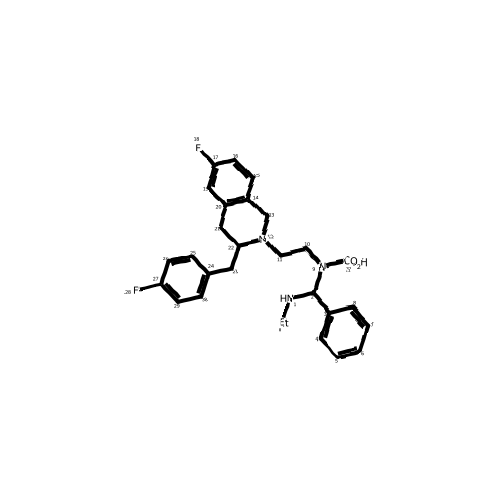 CCNC(c1ccccc1)N(CCN1Cc2ccc(F)cc2CC1Cc1ccc(F)cc1)C(=O)O